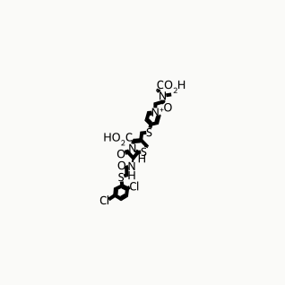 CN(CC(=O)O)C(=O)C[n+]1ccc(SCC2=C(C(=O)O)N3C(=O)[C@H](NC(=O)CSc4cc(Cl)ccc4Cl)[C@H]3SC2)cc1